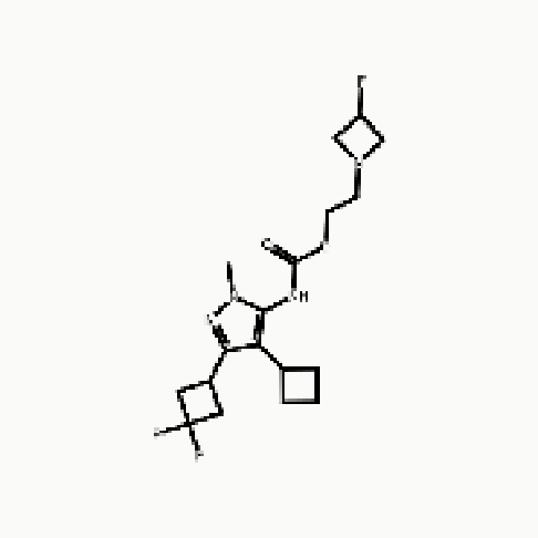 Cn1nc(C2CC(F)(F)C2)c(C2CCC2)c1NC(=O)OCCN1CC(F)C1